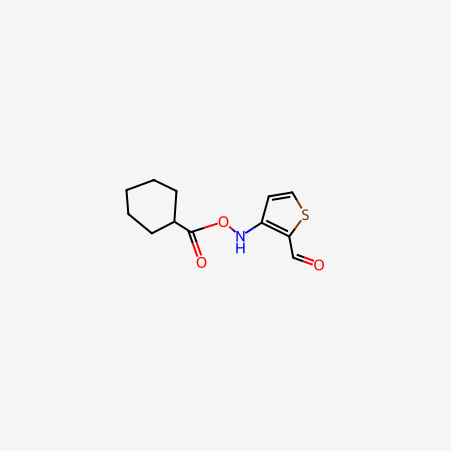 O=Cc1sccc1NOC(=O)C1CCCCC1